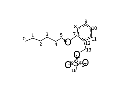 CCCCCCOc1ccccc1COS(C)(=O)=O